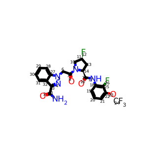 NC(=O)c1nn(CC(=O)N2C[C@H](F)C[C@H]2C(=O)Nc2cccc(OC(F)(F)F)c2F)c2ccccc12